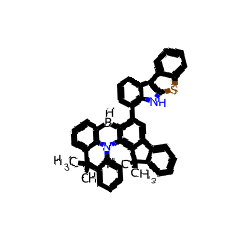 CC1(C)c2ccccc2N2c3c(cccc31)Bc1c(-c3cccc4c3[nH]c3sc5ccccc5c34)cc3c(c12)C(C)(C)c1ccccc1-3